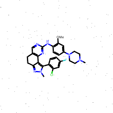 COc1cc(N2CCN(C)CC2)ccc1Nc1ncc2c(n1)-c1c(nn(C)c1-c1ccc(F)cc1Cl)CC2